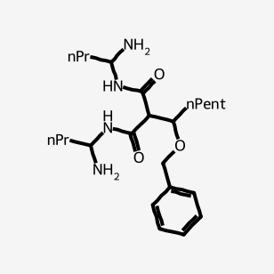 CCCCCC(OCc1ccccc1)C(C(=O)NC(N)CCC)C(=O)NC(N)CCC